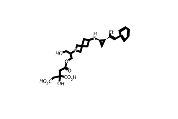 CC/C(=C\c1ccccc1)[C@@H]1C[C@H]1NC1CC2(C1)CN(C(CO)COC(=O)CC(O)(CC(=O)O)C(=O)O)C2